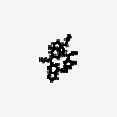 CN(c1nc(Nc2cc(CO)[nH]n2)c2ccsc2n1)[C@H]1C[C@@H]2CCC3(CC#N)C[C@H](C1)N23